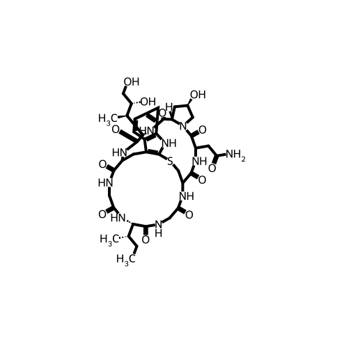 CC[C@H](C)[C@@H]1NC(=O)CNC(=O)C2Cc3c([nH]c4c5c(ccc34)C5)SCC(NC(=O)CNC1=O)C(=O)NC(CC(N)=O)C(=O)N1C[C@H](O)C[C@H]1C(=O)N[C@@H]([C@@H](C)[C@@H](O)CO)C(=O)N2